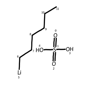 O=S(=O)(O)O.[Li][CH2]CCCCC